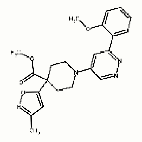 COC(=O)C1(c2cc(C)no2)CCN(c2cnnc(-c3ccccc3OC)c2)CC1